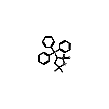 CC1(C)CN([P+](c2ccccc2)(c2ccccc2)c2ccccc2)S(=O)(=O)[N-]1